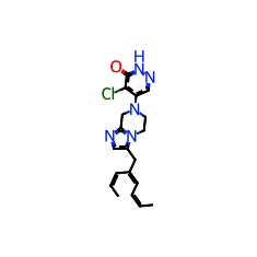 C\C=C/C=C(\C=C/C)Cc1cnc2n1CCN(c1cn[nH]c(=O)c1Cl)C2